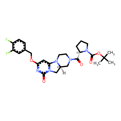 CC(C)(C)OC(=O)N1CCC[C@H]1C(=O)N1CCN2c3cc(OCc4ccc(F)c(F)c4)nc(=O)n3C[C@@H]2C1